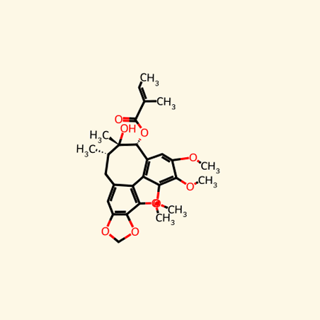 C/C=C(\C)C(=O)O[C@@H]1c2cc(OC)c(OC)c(OC)c2-c2c(cc3c(c2OC)OCO3)C[C@H](C)[C@]1(C)O